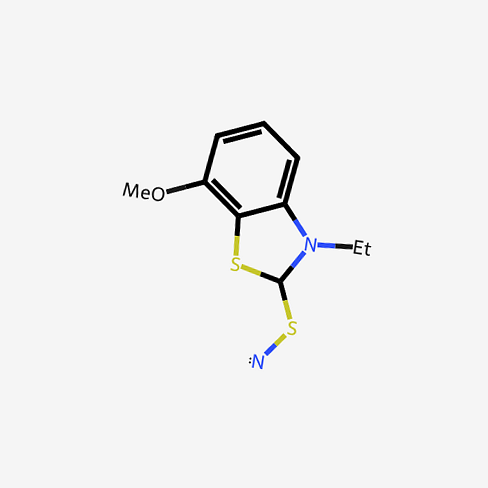 CCN1c2cccc(OC)c2SC1S[N]